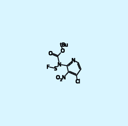 CC(C)(C)OC(=O)N(SF)c1nccc(Cl)c1[N+](=O)[O-]